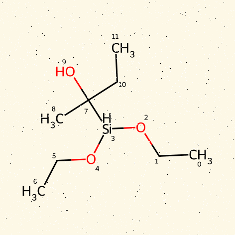 CCO[SiH](OCC)C(C)(O)CC